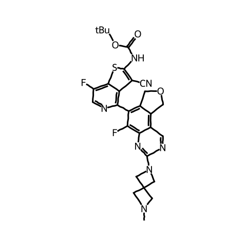 CN1CC2(C1)CN(c1ncc3c4c(c(-c5ncc(F)c6sc(NC(=O)OC(C)(C)C)c(C#N)c56)c(F)c3n1)COC4)C2